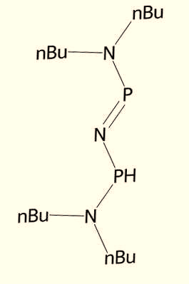 CCCCN(CCCC)P=NPN(CCCC)CCCC